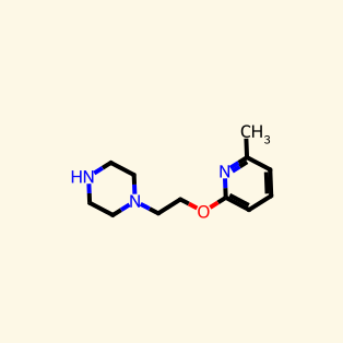 Cc1cccc(OCCN2CCNCC2)n1